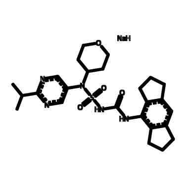 CC(C)c1ncc(N(C2CCOCC2)S(=O)(=O)NC(=O)Nc2c3c(cc4c2CCC4)CCC3)cn1.[NaH]